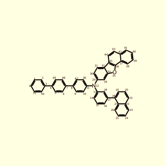 c1ccc(-c2ccc(-c3ccc(N(c4cccc(-c5cccc6ccccc56)c4)c4ccc5c(c4)oc4c6ccccc6ccc54)cc3)cc2)cc1